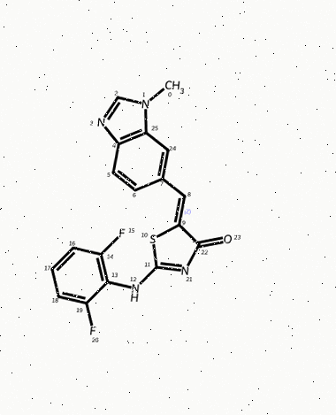 Cn1cnc2ccc(/C=C3\SC(Nc4c(F)cccc4F)=NC3=O)cc21